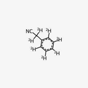 [2H]c1c([2H])c([2H])c(C([2H])([2H])C#N)c([2H])c1[2H]